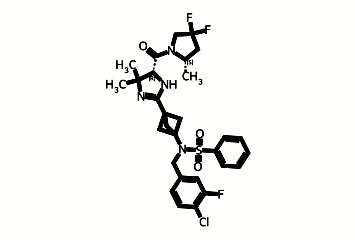 C[C@H]1CC(F)(F)CN1C(=O)[C@@H]1NC(C23CC(N(Cc4ccc(Cl)c(F)c4)S(=O)(=O)c4ccccc4)(C2)C3)=NC1(C)C